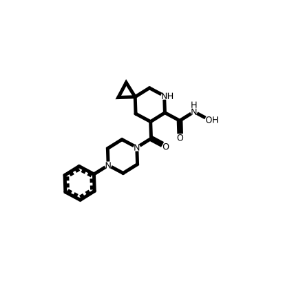 O=C(NO)C1NCC2(CC2)CC1C(=O)N1CCN(c2ccccc2)CC1